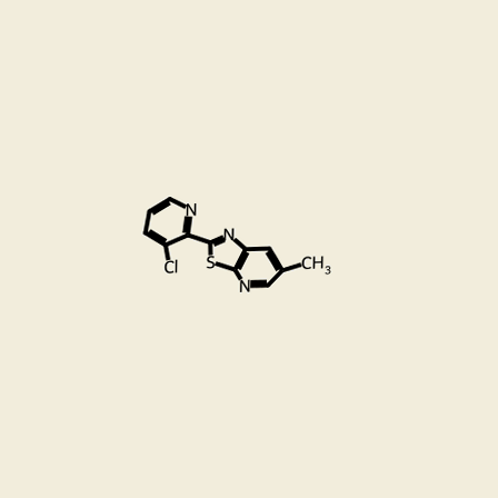 Cc1cnc2sc(-c3ncccc3Cl)nc2c1